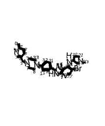 Cc1ccc(CN2CCN(c3ccc(-c4nc5c(N[C@H]6CCN(C)C6)c(Br)cnc5[nH]4)cc3)CC2)cn1